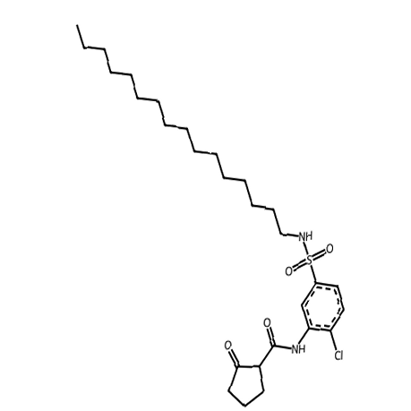 CCCCCCCCCCCCCCCCNS(=O)(=O)c1ccc(Cl)c(NC(=O)C2CCCC2=O)c1